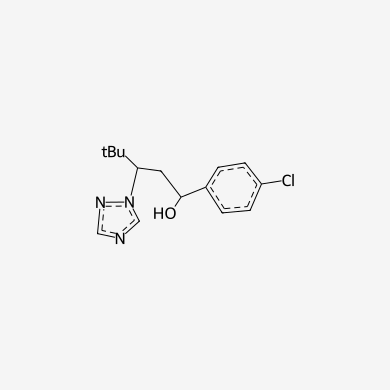 CC(C)(C)C(CC(O)c1ccc(Cl)cc1)n1cncn1